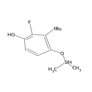 C[SiH](C)Oc1ccc(O)c(F)c1C(C)(C)C